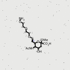 COC1(C(=O)O)CC(O)C(NC(C)=O)C(/C=N/OCCOCCON)O1